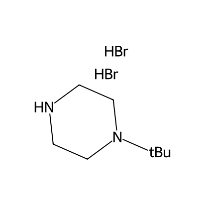 Br.Br.CC(C)(C)N1CCNCC1